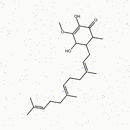 COC1=C(O)C(=O)C(C)C(C/C=C(\C)CC/C=C(\C)CCC=C(C)C)C1O